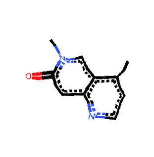 Cc1ccnc2cc(=O)n(C)cc12